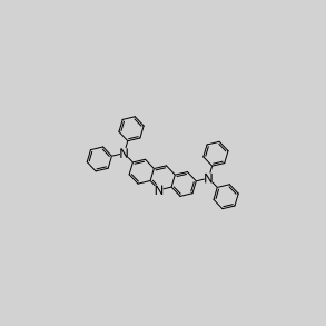 c1ccc(N(c2ccccc2)c2ccc3nc4ccc(N(c5ccccc5)c5ccccc5)cc4cc3c2)cc1